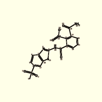 CS(=O)(=O)c1ccc2nc(NC(=O)c3cccc(C(N)=O)c3[N+](=O)[O-])sc2c1